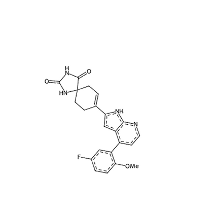 COc1ccc(F)cc1-c1ccnc2[nH]c(C3=CCC4(CC3)NC(=O)NC4=O)cc12